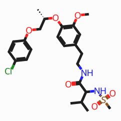 COc1cc(CCNC(=O)C(NS(C)(=O)=O)C(C)C)ccc1O[C@@H](C)COc1ccc(Cl)cc1